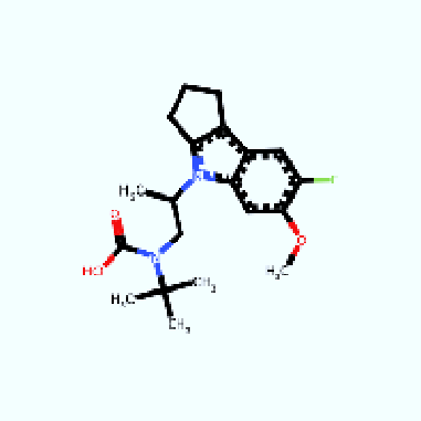 COc1cc2c(cc1F)c1c(n2C(C)CN(C(=O)O)C(C)(C)C)CCC1